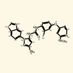 CC(=O)Nc1cc(Oc2ccc(NC(=O)Nc3cc(C(C)(C)C)nn3-c3ccc4scnc4c3)c(F)c2)ccn1